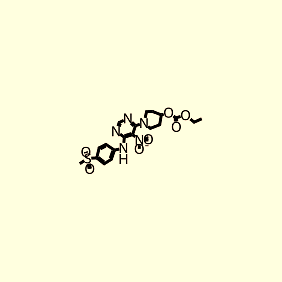 CCOC(=O)OC1CCN(c2ncnc(Nc3ccc(S(C)(=O)=O)cc3)c2[N+](=O)[O-])CC1